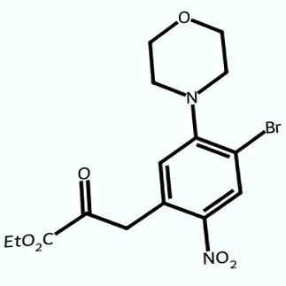 CCOC(=O)C(=O)Cc1cc(N2CCOCC2)c(Br)cc1[N+](=O)[O-]